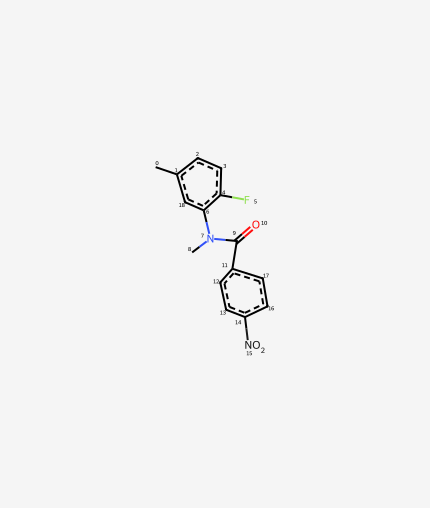 Cc1ccc(F)c(N(C)C(=O)c2ccc([N+](=O)[O-])cc2)c1